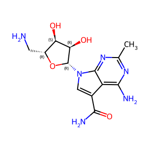 Cc1nc(N)c2c(C(N)=O)cn([C@@H]3O[C@H](CN)[C@@H](O)[C@H]3O)c2n1